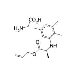 C=CCOC(=O)[C@H](C)Nc1cc(C)cc(C)c1C.NCC(=O)O